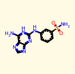 Nc1[nH]c(Nc2cccc(S(N)(=O)=O)c2)nc2ncnc1-2